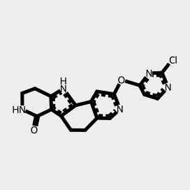 O=C1NCCc2[nH]c3c(c21)CCc1cnc(Oc2ccnc(Cl)n2)cc1-3